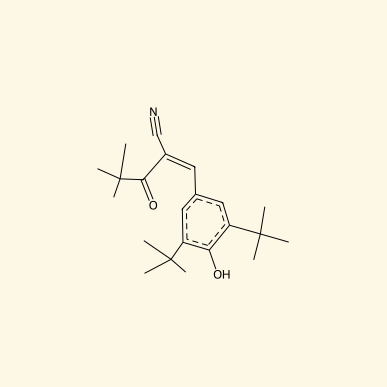 CC(C)(C)C(=O)/C(C#N)=C\c1cc(C(C)(C)C)c(O)c(C(C)(C)C)c1